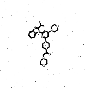 O=C(CN1CCOCC1)N1CCN(c2cc(N3CCOCC3)nc(-n3c(C(F)F)nc4ccccc43)n2)CC1